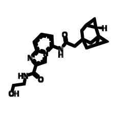 O=C(CC12CC3C[C@@H]3C3(CC3C1)C2)Nc1cccc2nc(C(=O)NCCO)cn12